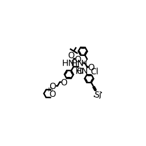 CC(C)(C)OC(=O)NC(C(=O)N[C@@H](Cc1ccccc1)C(=O)Nc1ccc(C#C[Si](C)(C)C)cc1Cl)c1ccc(OCCO[C@H]2CCCCO2)cc1